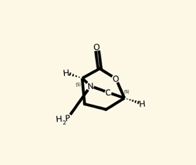 O=C1O[C@H]2CC[C@@H]1N(P)C2